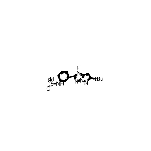 CC(C)(C)c1cc2[nH]c(-c3cccc(N[SH](=O)=O)c3)nn2n1